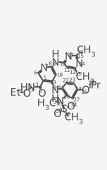 CCONC(=O)c1cnc(Nc2cc(C)nc(C)n2)cc1Nc1ccc(OC(C)C)cc1N(C)S(C)(=O)=O